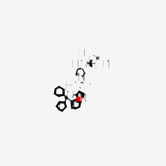 Cn1ncc(NC(=O)N2CCC(NC(=O)OC(C)(C)C)C2)c1NC(c1ccccc1)(c1ccccc1)c1ccccc1